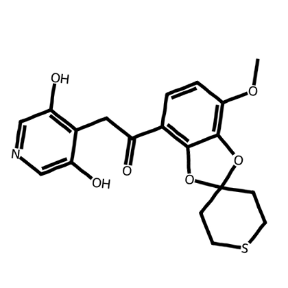 COc1ccc(C(=O)Cc2c(O)cncc2O)c2c1OC1(CCSCC1)O2